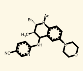 CC[C@H]1[C@H](C)C(Nc2ccc(C#N)cn2)c2cc(N3CCOCC3)ccc2N1C(C)=O